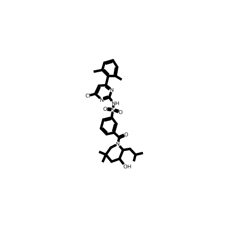 Cc1cccc(C)c1-c1cc(Cl)nc(NS(=O)(=O)c2cccc(C(=O)N3CC(C)(C)CC(O)C3CC(C)C)c2)n1